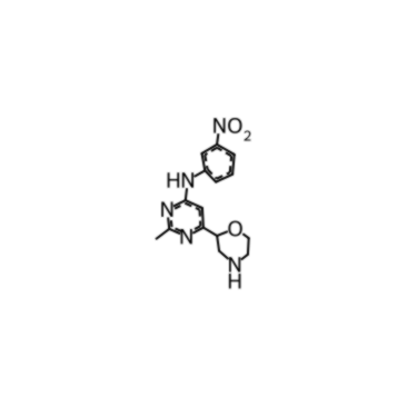 Cc1nc(Nc2cccc([N+](=O)[O-])c2)cc(C2CNCCO2)n1